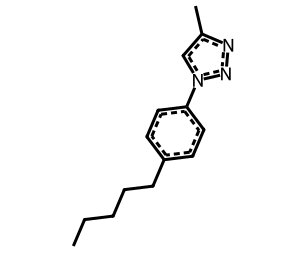 CCCCCc1ccc(-n2cc(C)nn2)cc1